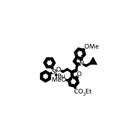 CCOC(=O)c1cc(OC)c2c(CCO[Si](c3ccccc3)(c3ccccc3)C(C)(C)C)c(-c3cc4ccc(OC)cc4n3CC3CC3)oc2c1